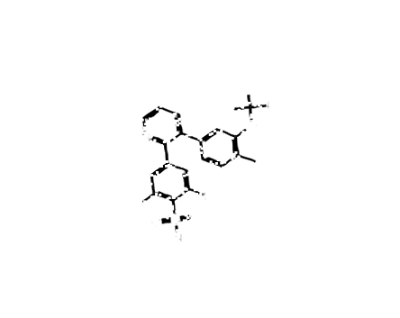 Cc1ccc(-c2cccnc2-c2cc(F)c(S(N)(=O)=O)c(F)c2)cc1OC(F)(F)F